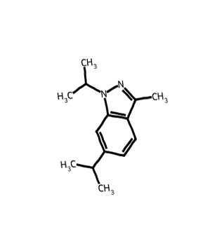 Cc1nn(C(C)C)c2cc(C(C)C)ccc12